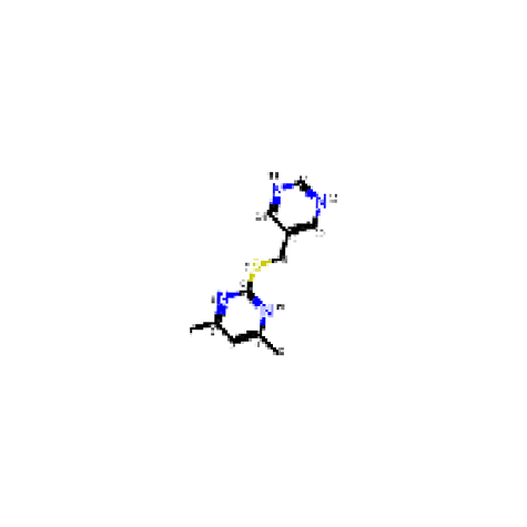 Cc1cc(C)nc(SCc2cncnc2)n1